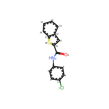 O=C(Nc1ccc(Cl)cc1)c1cc2ccccc2s1